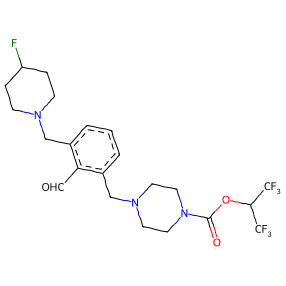 O=Cc1c(CN2CCC(F)CC2)cccc1CN1CCN(C(=O)OC(C(F)(F)F)C(F)(F)F)CC1